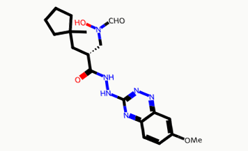 COc1ccc2nc(NNC(=O)[C@@H](CN(O)C=O)CC3(C)CCCC3)nnc2c1